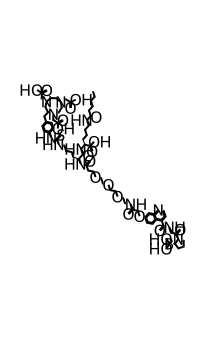 CCCCCC(=O)NCCCC[C@H](NC(=O)[C@H](CCCCNC(=S)Nc1ccc(CC2CN(CC(=O)O)CCN(CC(=O)O)CCN2CC(=O)O)cc1)NC(=O)CCOCCOCCOCCNC(=O)COc1ccc2c(C(=O)NCC(=O)N3CCC[C@H]3B(O)O)ccnc2c1)C(=O)O